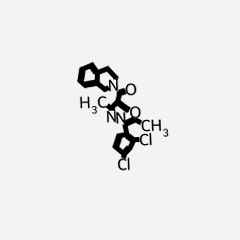 Cc1nn2c(-c3ccc(Cl)cc3Cl)c(C)oc2c1C(=O)N1CCc2ccccc2C1